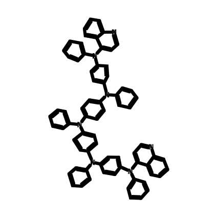 c1ccc(N(c2ccc(N(c3ccccc3)c3ccc(N(c4ccccc4)c4ccnc5ccccc45)cc3)cc2)c2ccc(N(c3ccccc3)c3ccc(N(c4ccccc4)c4ccnc5ccccc45)cc3)cc2)cc1